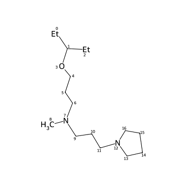 CCC(CC)OCCCN(C)CCCN1CCCC1